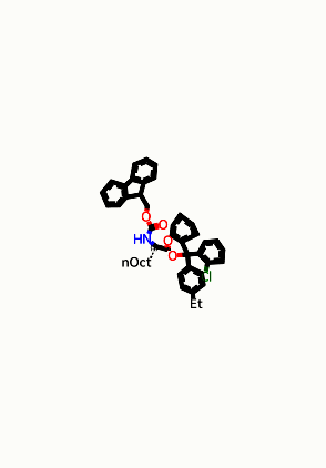 CCCCCCCC[C@H](NC(=O)OCC1c2ccccc2-c2ccccc21)C(=O)OC(c1ccccc1)(c1ccc(CC)cc1)c1ccccc1Cl